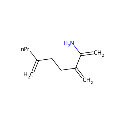 C=C(CCC)CCC(=C)C(=C)N